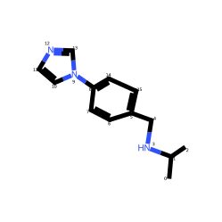 CC(C)NCc1ccc(-n2ccnc2)cc1